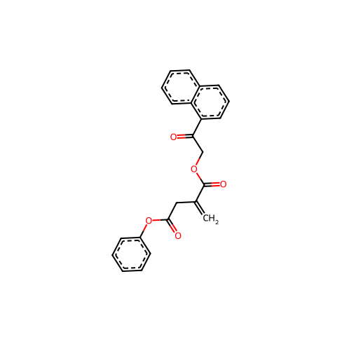 C=C(CC(=O)Oc1ccccc1)C(=O)OCC(=O)c1cccc2ccccc12